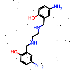 Nc1ccc(O)c(CNCCNCc2cc(N)ccc2O)c1